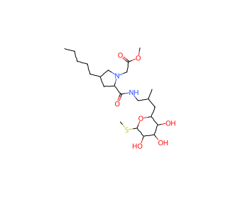 CCCCCC1CC(C(=O)NCC(C)CC2OC(SC)C(O)C(O)C2O)N(CC(=O)OC)C1